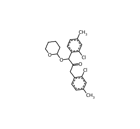 Cc1ccc(CC(=O)C(OC2CCCCO2)c2ccc(C)cc2Cl)c(Cl)c1